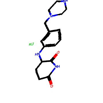 Cl.O=C1CCC(Nc2cccc(CN3CCNCC3)c2)C(=O)N1